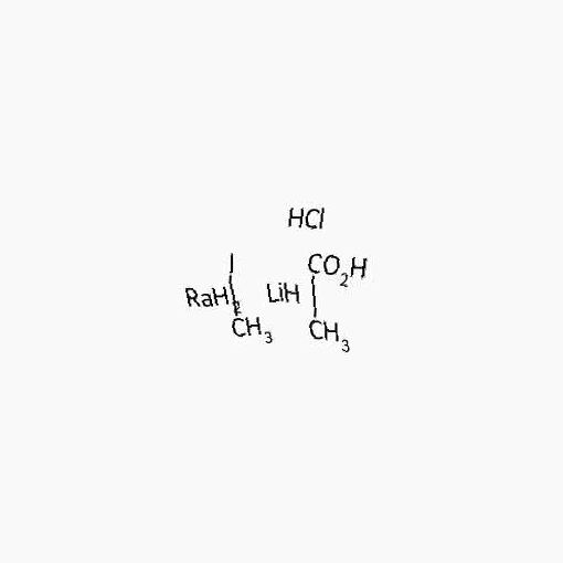 CC(=O)O.CI.Cl.[LiH].[RaH2]